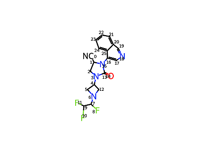 N#CC1CN(C2CN(C(F)C(F)F)C2)C(=O)N1c1cncc2ccccc12